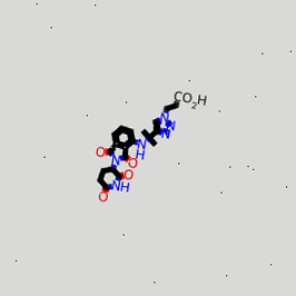 CC(C)(Nc1cccc2c1C(=O)N(C1CCC(=O)NC1=O)C2=O)c1cn(CCC(=O)O)nn1